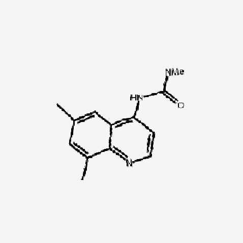 CNC(=O)Nc1ccnc2c(C)cc(C)cc12